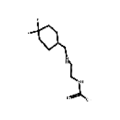 O=C(O)NCCNCC1CCC(F)(F)CC1